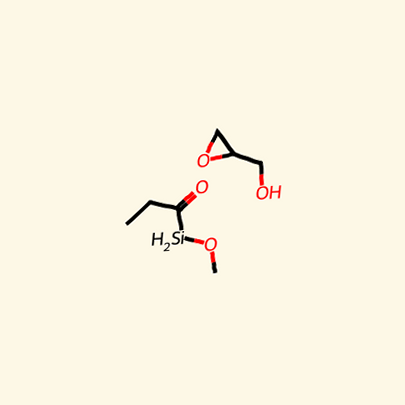 CCC(=O)[SiH2]OC.OCC1CO1